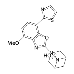 COc1ccc(-c2nccs2)c2oc(N3CC4CC(C3)N4C(=O)O)nc12